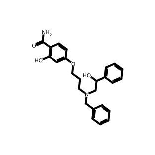 NC(=O)c1ccc(OCCCN(Cc2ccccc2)CC(O)c2ccccc2)cc1O